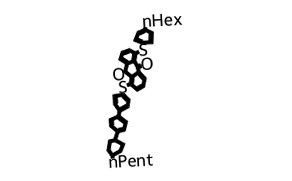 CCCCCCc1ccc(Sc2cccc3c2C(=O)c2cccc(Sc4ccc(-c5ccc(C6CCC(CCCCC)CC6)cc5)cc4)c2C3=O)cc1